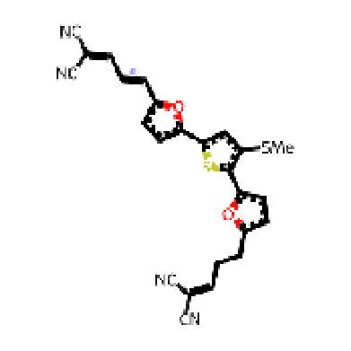 CSc1cc(-c2ccc(/C=C/C=C(C#N)C#N)o2)sc1-c1ccc(CCC=C(C#N)C#N)o1